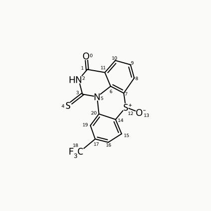 O=c1[nH]c(=S)n2c3c(cccc13)[S+]([O-])c1ccc(C(F)(F)F)cc1-2